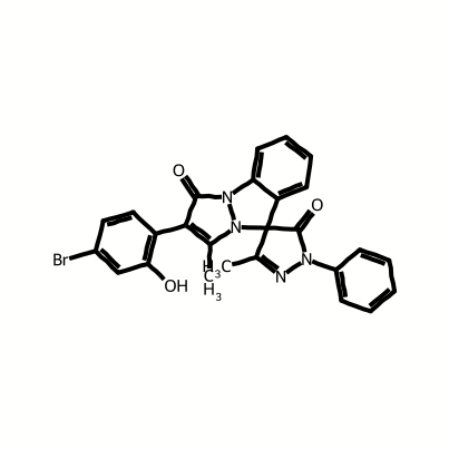 CC1=NN(c2ccccc2)C(=O)C12c1ccccc1-n1c(=O)c(-c3ccc(Br)cc3O)c(C)n12